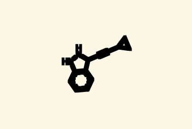 C(#CC1NNc2ccccc21)C1CC1